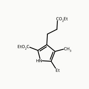 CCOC(=O)CCc1c(C(=O)OCC)[nH]c(CC)c1C